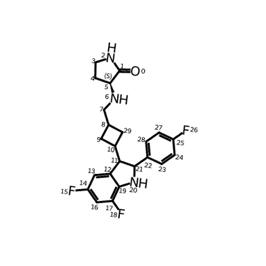 O=C1NCC[C@@H]1NCC1CC(C2c3cc(F)cc(F)c3NC2c2ccc(F)cc2)C1